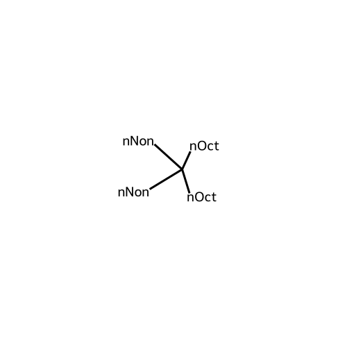 CCCCCCCCCC(CCCCCCCC)(CCCCCCCC)CCCCCCCCC